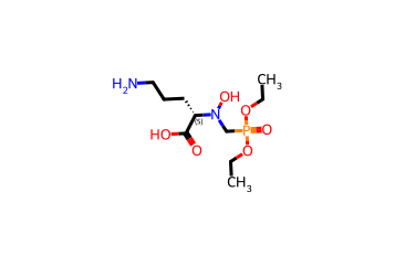 CCOP(=O)(CN(O)[C@@H](CCCN)C(=O)O)OCC